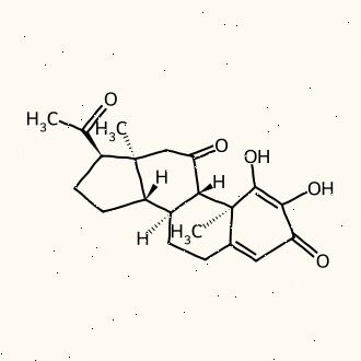 CC(=O)[C@@H]1CC[C@H]2[C@@H]3CCC4=CC(=O)C(O)=C(O)[C@]4(C)[C@H]3C(=O)C[C@]12C